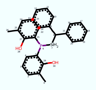 Cc1cccc(P([SiH2]C(c2ccccc2)c2ccccc2)c2cccc(C)c2O)c1O